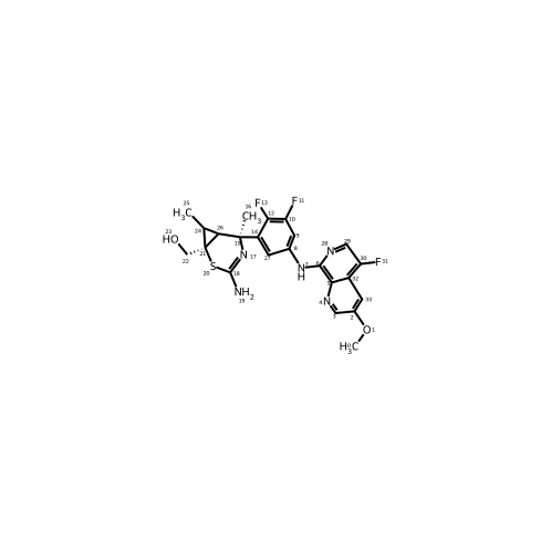 COc1cnc2c(Nc3cc(F)c(F)c([C@@]4(C)N=C(N)S[C@@]5(CO)C(C)C54)c3)ncc(F)c2c1